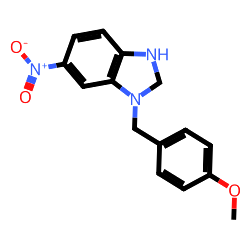 COc1ccc(CN2CNc3ccc([N+](=O)[O-])cc32)cc1